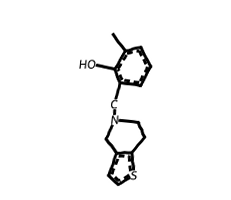 Cc1cccc(CN2CCc3sccc3C2)c1O